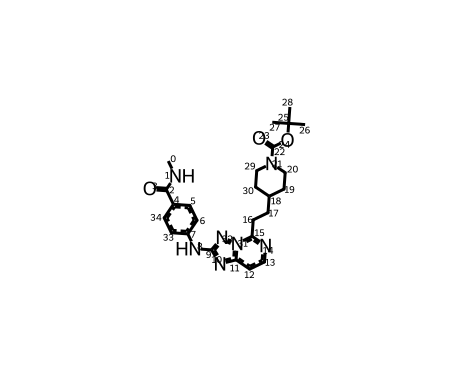 CNC(=O)c1ccc(Nc2nc3ccnc(CCC4CCN(C(=O)OC(C)(C)C)CC4)n3n2)cc1